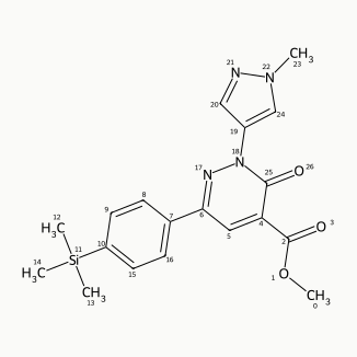 COC(=O)c1cc(-c2ccc([Si](C)(C)C)cc2)nn(-c2cnn(C)c2)c1=O